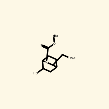 COCC1C2CCC(C(O)C2)N1C(=O)OC(C)(C)C